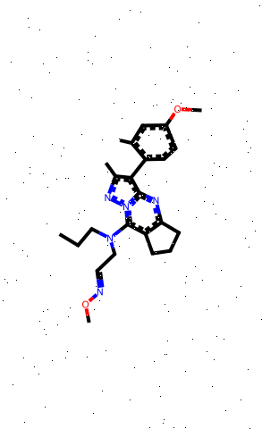 CCCN(CC=NOC)c1c2c(nc3c(-c4ccc(OC)cc4C)c(C)nn13)CCC2